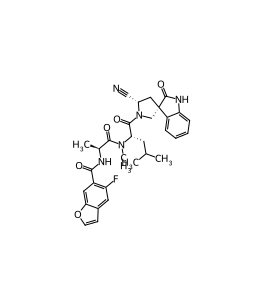 CC(C)C[C@@H](C(=O)N1C[C@]2(C[C@H]1C#N)C(=O)Nc1ccccc12)N(C)C(=O)[C@H](C)NC(=O)c1cc2occc2cc1F